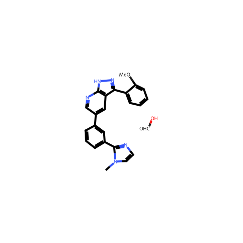 COc1ccccc1-c1n[nH]c2ncc(-c3cccc(-c4nccn4C)c3)cc12.O=CO